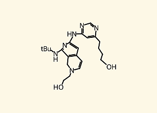 CC(C)(C)Nc1nc(Nc2cc(CCCCO)ncn2)cc2c1CN(CCO)C=C2